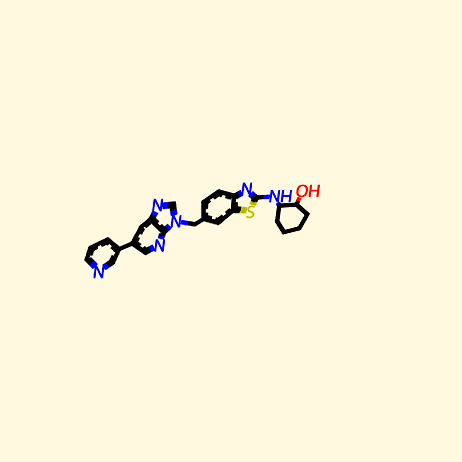 OC1CCCCC1Nc1nc2ccc(Cn3cnc4cc(-c5cccnc5)cnc43)cc2s1